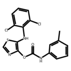 Cc1cccc(NC(=O)Oc2ncsc2Nc2c(Cl)cccc2Cl)c1